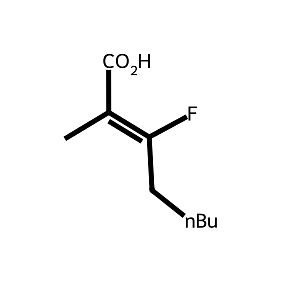 CCCCCC(F)=C(C)C(=O)O